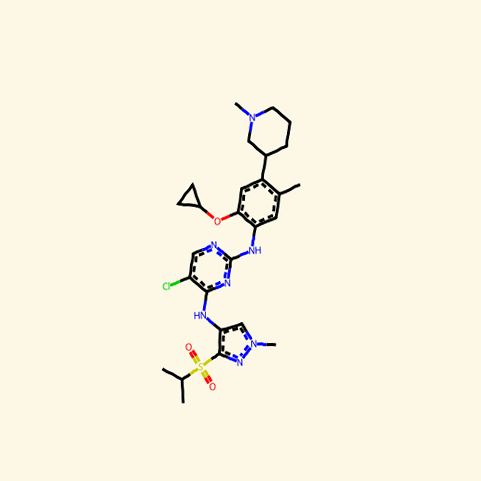 Cc1cc(Nc2ncc(Cl)c(Nc3cn(C)nc3S(=O)(=O)C(C)C)n2)c(OC2CC2)cc1C1CCCN(C)C1